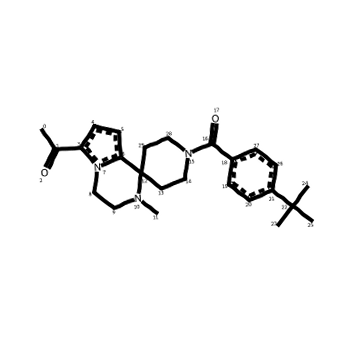 CC(=O)c1ccc2n1CCN(C)C21CCN(C(=O)c2ccc(C(C)(C)C)cc2)CC1